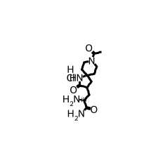 CC(=O)N1CCC2(CC1)CC(C[C@H](N)C(N)=O)C(=O)N2.Cl